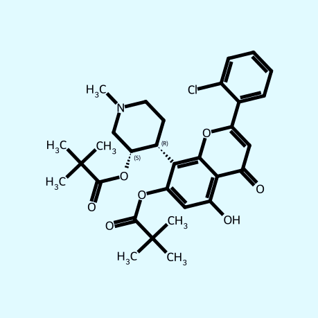 CN1CC[C@H](c2c(OC(=O)C(C)(C)C)cc(O)c3c(=O)cc(-c4ccccc4Cl)oc23)[C@H](OC(=O)C(C)(C)C)C1